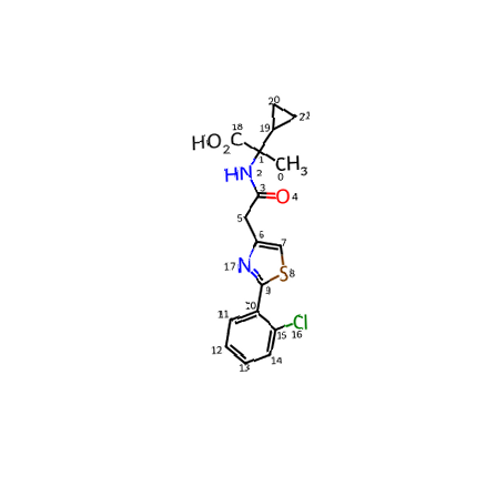 CC(NC(=O)Cc1csc(-c2ccccc2Cl)n1)(C(=O)O)C1CC1